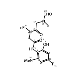 CCCN(CC(=O)Nc1c(O)cc(F)cc1NC)C(=O)CN(C)C=O